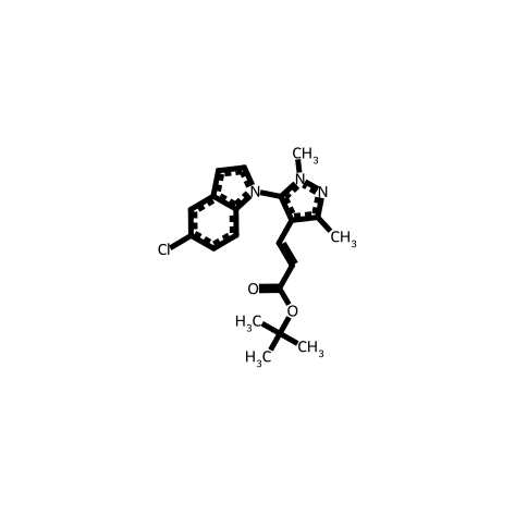 Cc1nn(C)c(-n2ccc3cc(Cl)ccc32)c1C=CC(=O)OC(C)(C)C